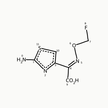 Nc1nc(/C(=N\OCF)C(=O)O)cs1